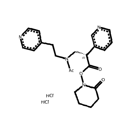 CC(=O)N(CCc1ccncc1)C[C@@H](C(=O)ON1CCCCC1=O)c1cccnc1.Cl.Cl